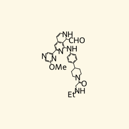 CCNCC(=O)N1CCC(c2ccc(Nc3nc(-c4cncc(OC)n4)cc4c3C(C=O)NC=C4)cc2)CC1